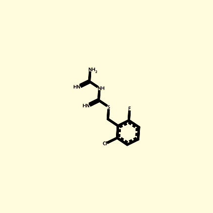 N=C(N)NC(=N)SCc1c(F)cccc1Cl